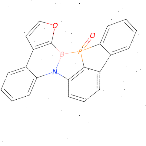 O=P12B3c4occc4-c4ccccc4N3c3cccc(c31)-c1ccccc12